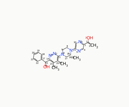 C=C(O)c1cnc(N2CCN(c3nnc(C(O)c4ccccc4)c(C)c3C)C[C@H]2C)cn1